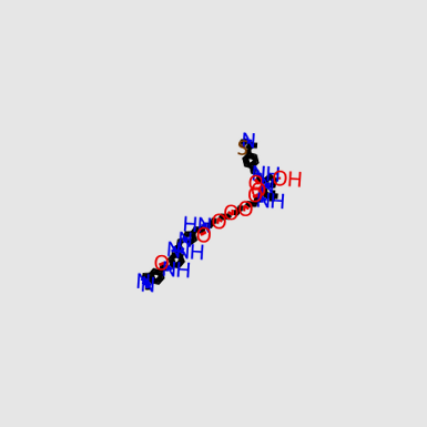 Cc1ncsc1-c1ccc(CNC(=O)[C@@H]2C[C@@H](O)CN2C(=O)C(NC(=O)CCOCCOCCOCCNC(=O)CC2CCN(Cc3nc4cc(NC(=O)c5ccc6c(cnn6C)c5)ccc4[nH]3)C2)C(C)(C)C)cc1